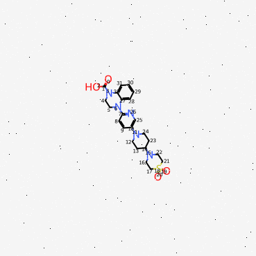 O=C(O)N1CCN(c2ccc(N3CCC(N4CCS(=O)(=O)CC4)CC3)cn2)c2ccccc21